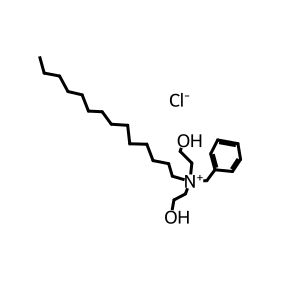 CCCCCCCCCCCCCC[N+](CCO)(CCO)Cc1ccccc1.[Cl-]